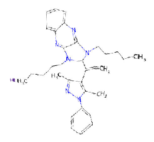 C=C(c1c(C)nn(-c2ccccc2)c1C)C1N(CCCCC)c2nc3ccccc3nc2N1CCCCC.I